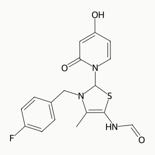 CC1=C(NC=O)SC(n2ccc(O)cc2=O)N1Cc1ccc(F)cc1